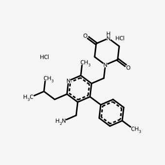 Cc1ccc(-c2c(CN3CC(=O)NCC3=O)c(C)nc(CC(C)C)c2CN)cc1.Cl.Cl